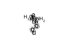 CS(=O)(=O)ONC(N)=NC(=O)c1cccc(-c2cccc(Cl)c2)c1